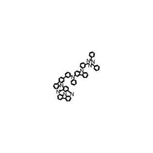 N#Cc1ccc(-n2c3ccccc3c3ccc(-c4cccc(N(c5ccccc5)c5ccc6c(c5)c5ccccc5n6-c5cccc(-c6nc(-c7ccccc7)nc(-c7ccccc7)n6)c5)c4)cc32)c(C#N)c1-n1c2ccccc2c2ccccc21